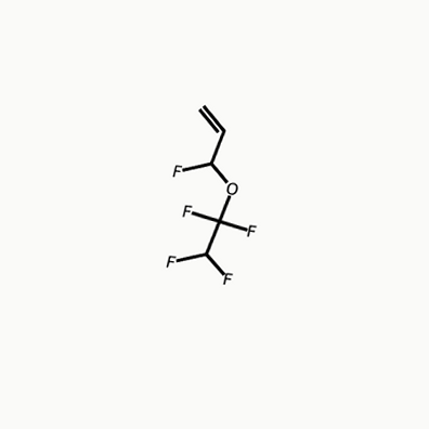 C=CC(F)OC(F)(F)C(F)F